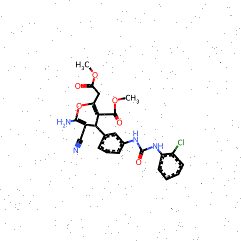 COC(=O)CC1=C(C(=O)OC)C(c2cccc(NC(=O)Nc3ccccc3Cl)c2)C(C#N)=C(N)O1